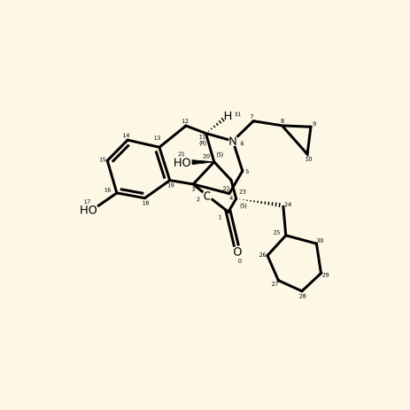 O=C1CC23CCN(CC4CC4)[C@H](Cc4ccc(O)cc42)[C@]3(O)C[C@@H]1CC1CCCCC1